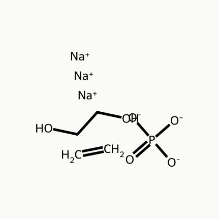 C=C.O=P([O-])([O-])[O-].OCCO.[Na+].[Na+].[Na+]